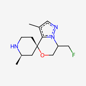 Cc1cnn2c1[C@]1(CCN[C@H](C)C1)OCC2CF